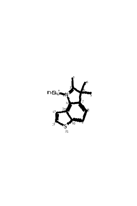 CCCC[N+]1=C(C)C(C)(C)c2ccc3sccc3c21